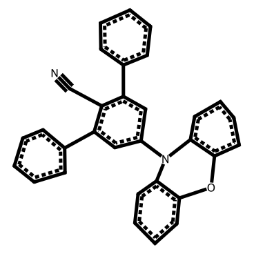 N#Cc1c(-c2ccccc2)cc(N2c3ccccc3Oc3ccccc32)cc1-c1ccccc1